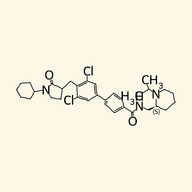 CC(C)N1CCCC[C@H]1CNC(=O)c1ccc(-c2cc(Cl)c(CC3CCN(C4CCCCC4)C3=O)c(Cl)c2)cc1